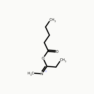 CCCCC(=O)O/C(CC)=N\C